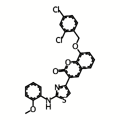 COc1ccccc1Nc1nc(-c2cc3cccc(OCc4ccc(Cl)cc4Cl)c3oc2=O)cs1